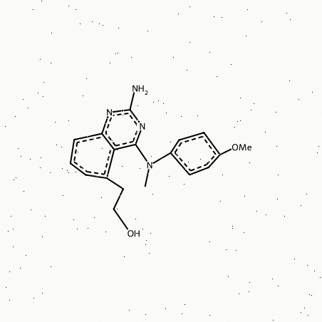 COc1ccc(N(C)c2nc(N)nc3cccc(CCO)c23)cc1